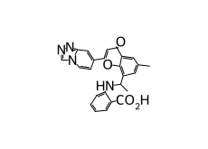 Cc1cc(C(C)Nc2ccccc2C(=O)O)c2oc(-c3ccn4cnnc4c3)cc(=O)c2c1